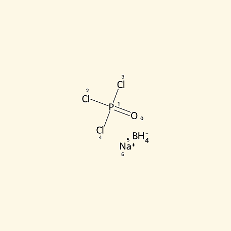 O=P(Cl)(Cl)Cl.[BH4-].[Na+]